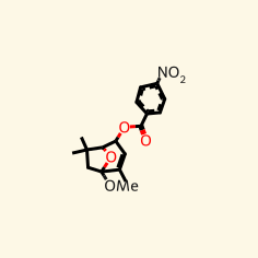 COC12CC(C)(C)C(O1)C(OC(=O)c1ccc([N+](=O)[O-])cc1)C=C2C